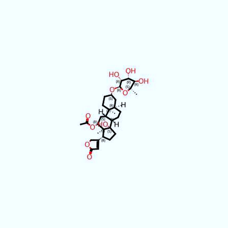 CC(=O)O[C@@H]1C[C@H]2[C@@H](CC[C@@H]3C[C@@H](O[C@@H]4O[C@@H](C)[C@H](O)[C@@H](O)[C@H]4O)CC[C@@]32C)[C@@]2(O)CC[C@H](C3=CC(=O)OC3)[C@@]12C